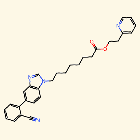 N#Cc1ccccc1-c1ccc2c(c1)ncn2CCCCCCCC(=O)OCCc1ccccn1